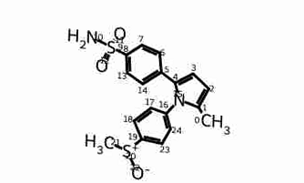 Cc1ccc(-c2ccc(S(N)(=O)=O)cc2)n1-c1ccc([S+](C)[O-])cc1